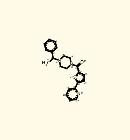 CC(c1ccccc1)N1CCN(C(=O)c2ccc(-c3ccccn3)s2)CC1